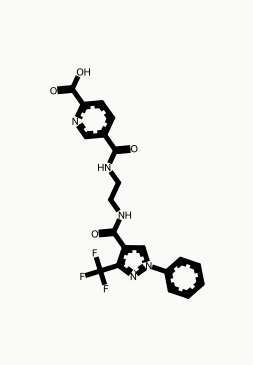 O=C(NCCNC(=O)c1cn(-c2ccccc2)nc1C(F)(F)F)c1ccc(C(=O)O)nc1